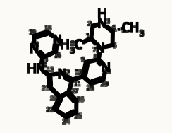 CC1CN[C@H](C)CN1c1cc(-c2nc(Nc3cnccn3)cc3ccccc23)ccn1